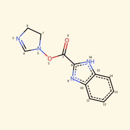 O=C(ON1C=NCC1)c1nc2ccccc2[nH]1